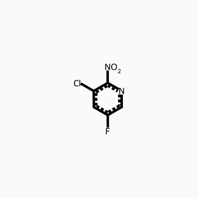 O=[N+]([O-])c1ncc(F)cc1Cl